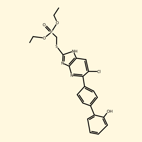 CCOP(=O)(CSc1nc2nc(-c3ccc(-c4ccccc4O)cc3)c(Cl)cc2[nH]1)OCC